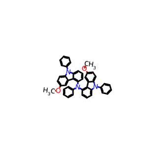 COc1ccc2c(c1)c1c(N(c3ccccc3)c3cccc4c3c3cc(OC)ccc3n4-c3ccccc3)cccc1n2-c1ccccc1